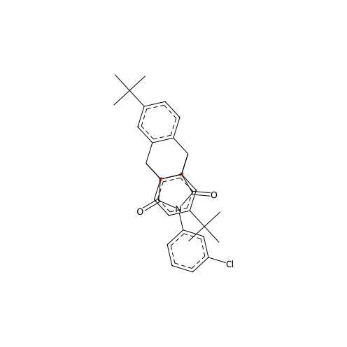 CC(C)(C)c1ccc2c(c1)C1c3ccc(C(C)(C)C)cc3C2C2C(=O)N(c3cccc(Cl)c3)C(=O)C12